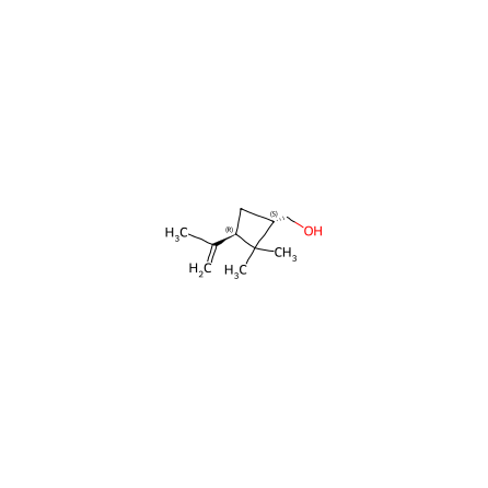 C=C(C)[C@H]1C[C@H](CO)C1(C)C